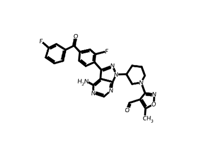 Cc1onc(N2CCCC(n3nc(-c4ccc(C(=O)c5cccc(F)c5)cc4F)c4c(N)ncnc43)C2)c1C=O